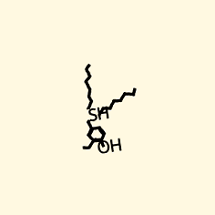 CCCCCCCC[SH](CCCCCCCC)Cc1ccc(O)c(CC)c1